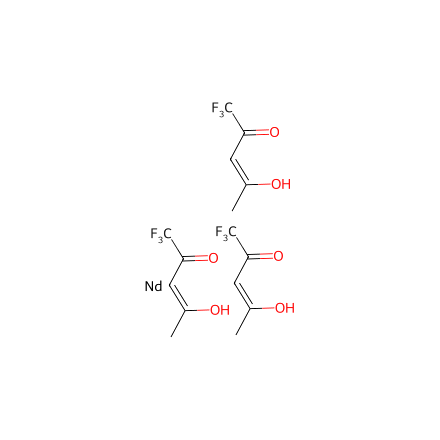 CC(O)=CC(=O)C(F)(F)F.CC(O)=CC(=O)C(F)(F)F.CC(O)=CC(=O)C(F)(F)F.[Nd]